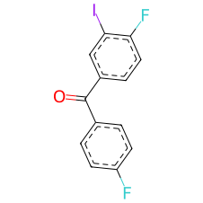 O=C(c1ccc(F)cc1)c1ccc(F)c(I)c1